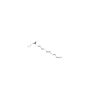 CC(C)(C)OC(=O)OCCOCCOCCN